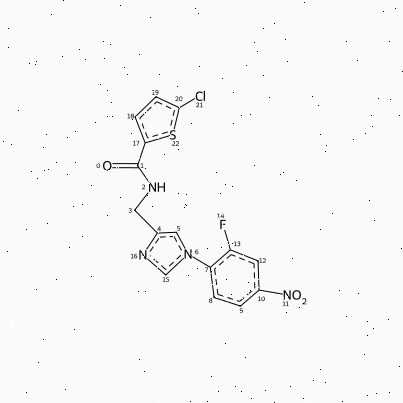 O=C(NCc1cn(-c2ccc([N+](=O)[O-])cc2F)cn1)c1ccc(Cl)s1